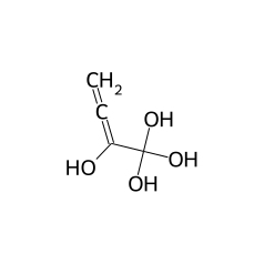 C=C=C(O)C(O)(O)O